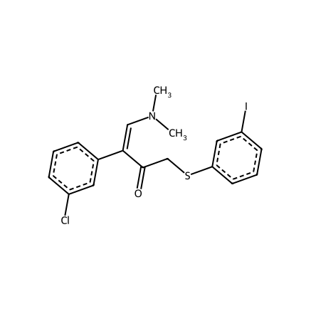 CN(C)C=C(C(=O)CSc1cccc(I)c1)c1cccc(Cl)c1